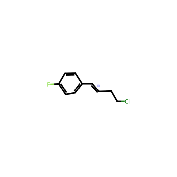 Fc1ccc(/C=C/CCCl)cc1